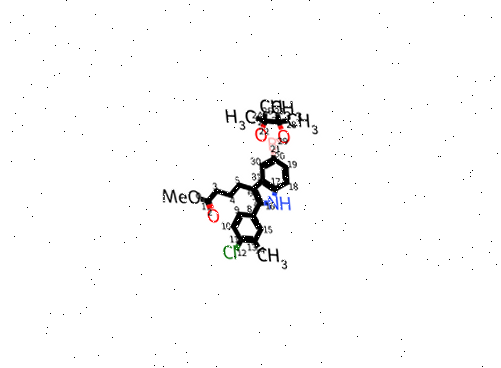 COC(=O)CCCc1c(-c2ccc(Cl)c(C)c2)[nH]c2ccc(B3OC(C)(C)C(C)(C)O3)cc12